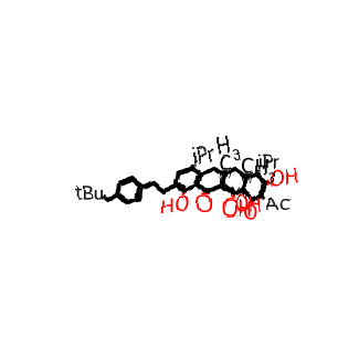 CC(=O)C1=C(O)C(C(C)C)[C@@]2(C)C[C@@]3(C)Cc4c(C(C)C)cc(CCc5ccc(CC(C)(C)C)cc5)c(O)c4C(=O)C3=C(O)[C@@]2(O)C1=O